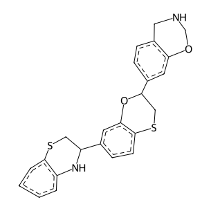 c1ccc2c(c1)NC(c1ccc3c(c1)OC(c1ccc4c(c1)OCNC4)CS3)CS2